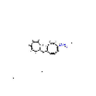 NC1=C/C=C\C(CC2CC=CCCC2)=C/C=C\1